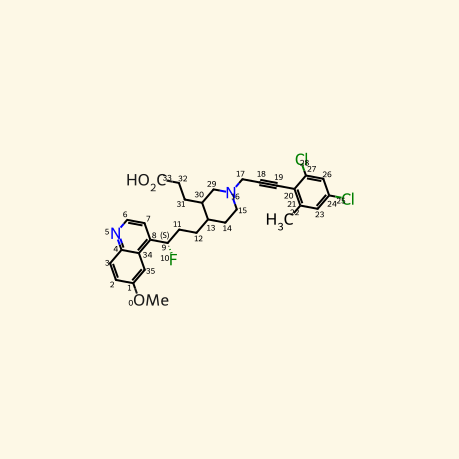 COc1ccc2nccc([C@@H](F)CCC3CCN(CC#Cc4c(C)cc(Cl)cc4Cl)CC3CCC(=O)O)c2c1